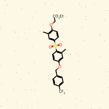 CCOC(=O)COc1ccc(S(=O)(=O)c2ccc(OCc3ccc(C(F)(F)F)cc3)cc2C)cc1C